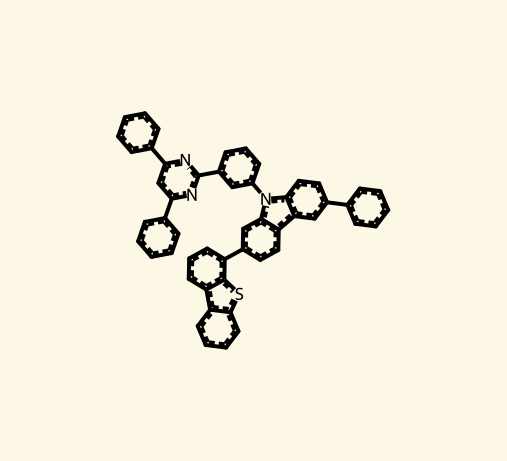 c1ccc(-c2ccc3c(c2)c2ccc(-c4cccc5c4sc4ccccc45)cc2n3-c2cccc(-c3nc(-c4ccccc4)cc(-c4ccccc4)n3)c2)cc1